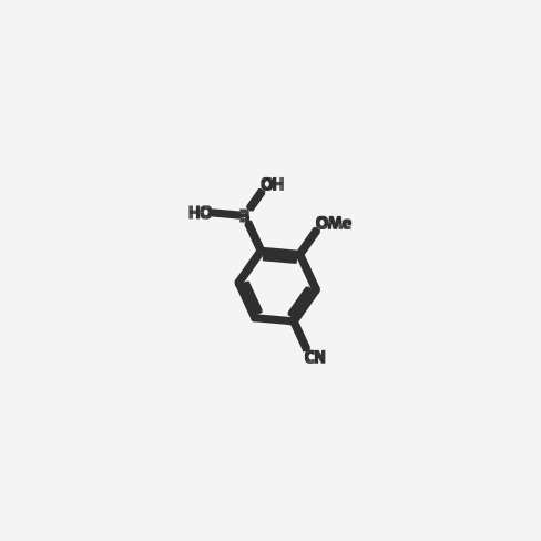 COc1cc(C#N)ccc1B(O)O